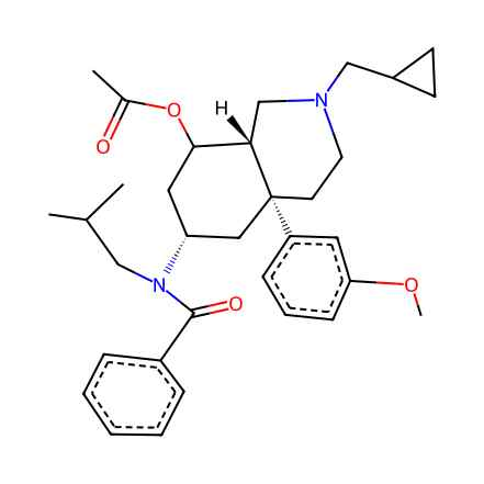 COc1cccc([C@@]23CCN(CC4CC4)C[C@H]2C(OC(C)=O)C[C@@H](N(CC(C)C)C(=O)c2ccccc2)C3)c1